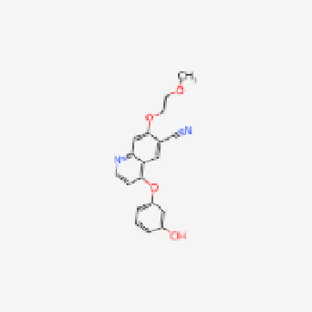 COCCOc1cc2nccc(Oc3cccc(O)c3)c2cc1C#N